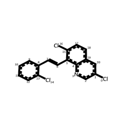 Clc1cnc2c(C=Cc3ccccc3Cl)c(Cl)ccc2c1